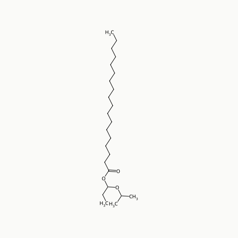 CCCCCCCCCCCCCCCCCC(=O)OC(CC)OC(C)C